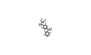 CCN(CC)C(=O)c1ccc(C(Cl)c2ccccc2)cc1